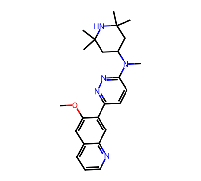 COc1cc2cccnc2cc1-c1ccc(N(C)C2CC(C)(C)NC(C)(C)C2)nn1